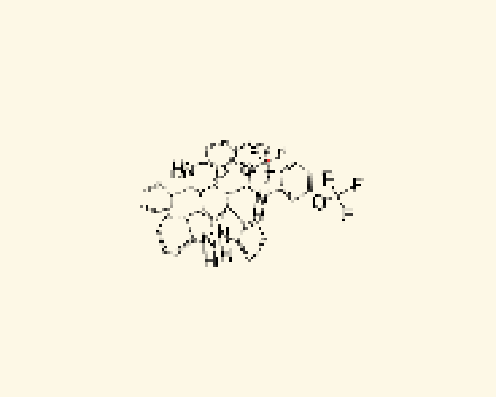 O=C(C(c1c[nH]c2ccccc12)C(Nc1cccc(OC(F)(F)F)c1)c1ccccc1)C(c1c[nH]c2ccccc12)C(Nc1cccc(OC(F)(F)F)c1)c1ccccc1